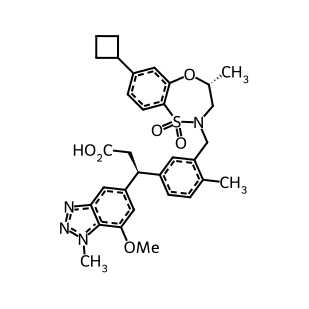 COc1cc([C@@H](CC(=O)O)c2ccc(C)c(CN3C[C@@H](C)Oc4cc(C5CCC5)ccc4S3(=O)=O)c2)cc2nnn(C)c12